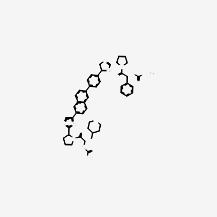 COC(=O)N[C@@H](CC1CCOCC1)C(=O)N1CCCC1c1ncc(-c2ccc3cc(-c4ccc(C5CN=C([C@@H]6CCCN6C(=O)[C@H](NC(=O)OC)c6ccccc6)N5)cc4)ccc3c2)[nH]1